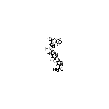 CNC(=O)c1cc(Oc2cnc3nc(Nc4cc(C(C)(C)C)n(C5CCOC5)n4)n(C)c3c2C)ccn1